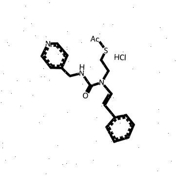 CC(=O)SCCN(C=Cc1ccccc1)C(=O)NCc1ccncc1.Cl